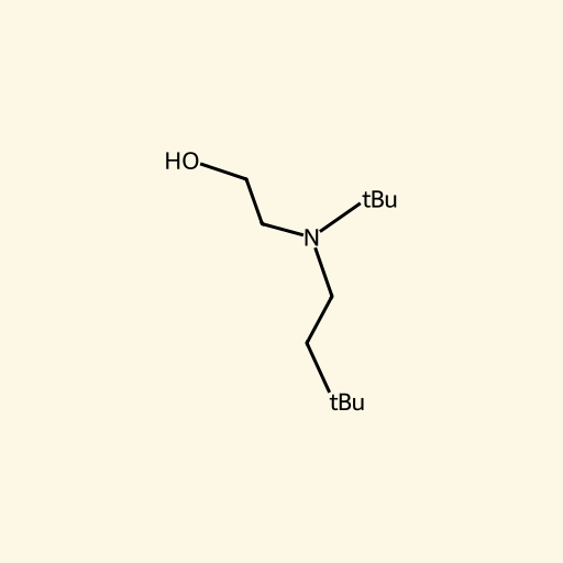 CC(C)(C)CCN(CCO)C(C)(C)C